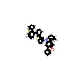 c1ccc2c(c1)oc1cc3c4ccccc4n(-c4ccc5sc6c(-c7cccc8sc9ccccc9c78)cccc6c5c4)c3cc12